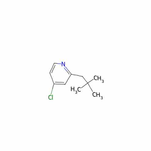 CC(C)(C)Cc1cc(Cl)ccn1